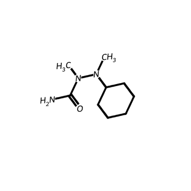 CN(C(N)=O)N(C)C1CCCCC1